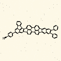 N#Cc1ccc(-c2cc3cc4c5ccc6c7ccc8c9c(ccc(c%10ccc(c5c6%10)c4c4c5ccccc5c(c2)c34)c97)-c2cc3cc(-c4ccccc4)c(-c4ccccc4)cc3cc2-8)cc1